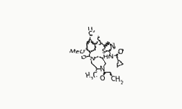 C=CC(=O)N1CCCN(C(=O)c2cc(Sc3cnc(NC(=O)C4CC4)s3)c(C)cc2OC)CC1C